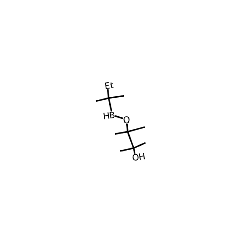 CCC(C)(C)BOC(C)(C)C(C)(C)O